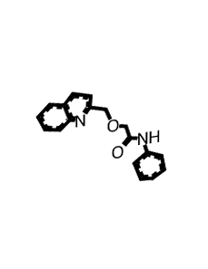 O=C(COCc1ccc2ccccc2n1)Nc1ccccc1